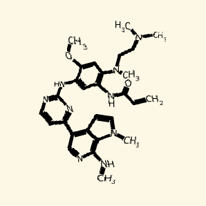 C=CC(=O)Nc1cc(Nc2nccc(-c3cnc(NC)c4c3ccn4C)n2)c(OC)cc1N(C)CCN(C)C